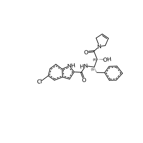 O=C(N[C@@H](Cc1ccccc1)[C@@H](O)C(=O)N1CC=CC1)c1cc2cc(Cl)ccc2[nH]1